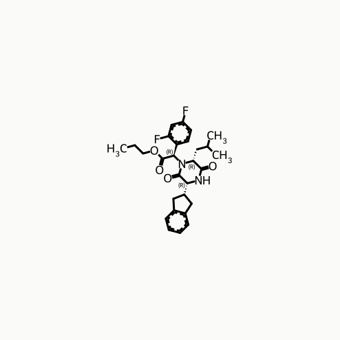 CCCOC(=O)[C@@H](c1ccc(F)cc1F)N1C(=O)[C@@H](C2Cc3ccccc3C2)NC(=O)[C@H]1CC(C)C